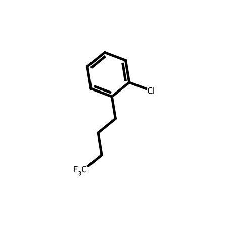 FC(F)(F)CCCc1ccccc1Cl